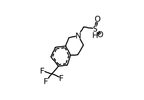 O=[SH](=O)CN1CCc2cc(C(F)(F)F)ccc2C1